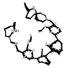 C=C1CC[C@H](CNCc2ncc(-c3cccc(-c4cccc(-c5cnc(CN6CCC7(CCC(=C)N7)CC6)c(OC)n5)c4Cl)c3C)nc2OC)N1